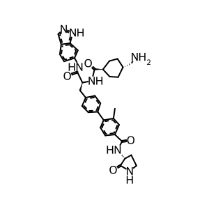 Cc1cc(C(=O)N[C@@H]2CCNC2=O)ccc1-c1ccc(C[C@H](NC(=O)[C@H]2CC[C@H](CN)CC2)C(=O)Nc2ccc3cn[nH]c3c2)cc1